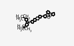 CC(C)(C)c1ccc2c(c1)c1cc(C(C)(C)C)ccc1n2-c1ccc2cc3c(cc2c1)Cc1ccc(-c2ccc4c(c2)-c2cccc(-c5ccccc5)c2S4(=O)=O)cc1C3